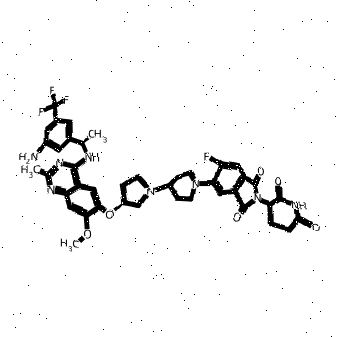 COc1cc2nc(C)nc(N[C@H](C)c3cc(N)cc(C(F)(F)F)c3)c2cc1O[C@H]1CCN(C2CCN(c3cc4c(cc3F)C(=O)N(C3CCC(=O)NC3=O)C4=O)CC2)C1